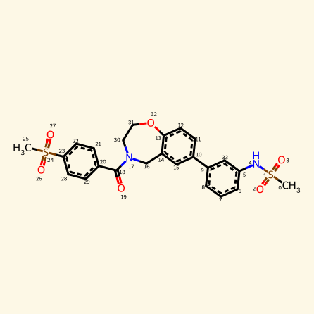 CS(=O)(=O)Nc1cccc(-c2ccc3c(c2)CN(C(=O)c2ccc(S(C)(=O)=O)cc2)CCO3)c1